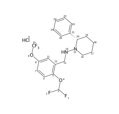 Cl.FC(F)Oc1ccc(OC(F)(F)F)cc1CNN1CCCC[C@H]1c1ccccc1